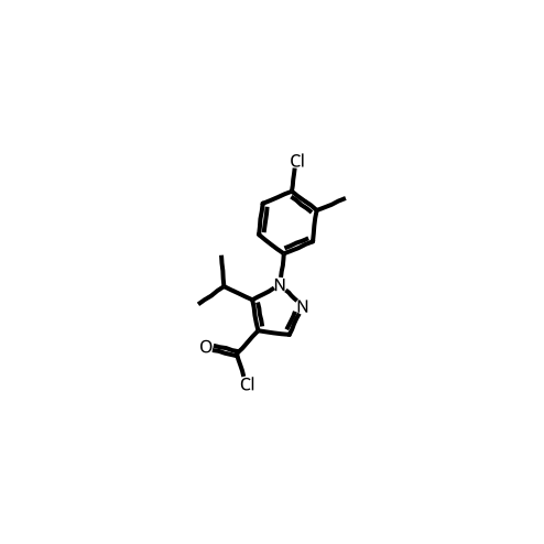 Cc1cc(-n2ncc(C(=O)Cl)c2C(C)C)ccc1Cl